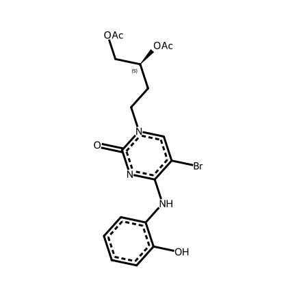 CC(=O)OC[C@H](CCn1cc(Br)c(Nc2ccccc2O)nc1=O)OC(C)=O